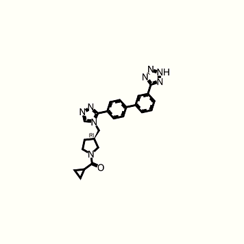 O=C(C1CC1)N1CC[C@@H](Cn2cnnc2-c2ccc(-c3cccc(-c4nn[nH]n4)c3)cc2)C1